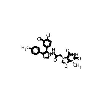 Cc1ccc(C2=C(c3ccc(Cl)c(Cl)c3)N(NC(=O)CN3CNc4c3c(=O)[nH]c(=O)n4C)CS2)cc1